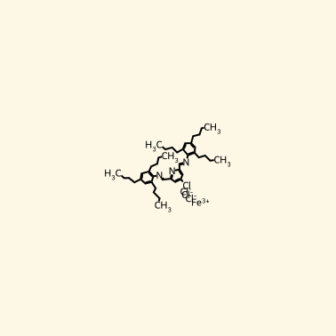 CCCCc1cc(CCCC)c(N=Cc2cc(Cl)cc(C=Nc3c(CCCC)cc(CCCC)cc3CCCC)n2)c(CCCC)c1.[Cl-].[Cl-].[Cl-].[Fe+3]